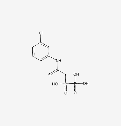 O=P(O)(O)P(=O)(O)CC(=S)Nc1cccc(Cl)c1